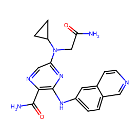 NC(=O)CN(c1cnc(C(N)=O)c(Nc2ccc3cnccc3c2)n1)C1CC1